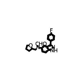 O=CN(CC1CCCO1)c1ccc2[nH]nc(-c3ccc(F)cc3)c2c1